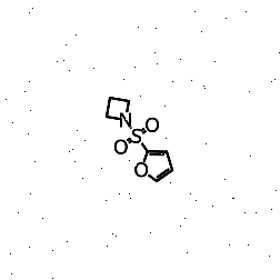 O=S(=O)(c1ccco1)N1CCC1